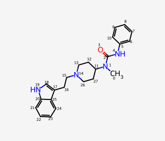 CN(C(=O)Nc1ccccc1)C1CCN(CCc2c[nH]c3ccccc23)CC1